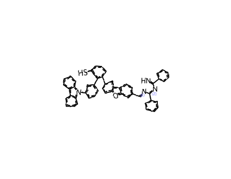 N=C(/N=C(\N=C\c1ccc2c(c1)oc1ccc(-c3cccc(S)c3-c3cccc(-n4c5ccccc5c5ccccc54)c3)cc12)c1ccccc1)c1ccccc1